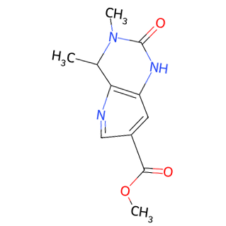 COC(=O)c1cnc2c(c1)NC(=O)N(C)C2C